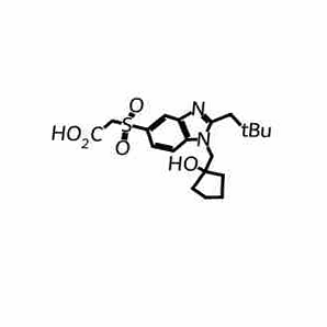 CC(C)(C)Cc1nc2cc(S(=O)(=O)CC(=O)O)ccc2n1CC1(O)CCCC1